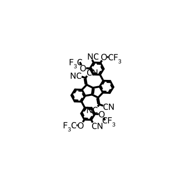 N#CC(C#N)=C1C2=C(C(=C(C#N)C#N)c3cccc(-c4cc(OC(F)(F)F)c(C#N)c(OC(F)(F)F)c4)c32)c2c1cccc2-c1cc(OC(F)(F)F)c(C#N)c(OC(F)(F)F)c1